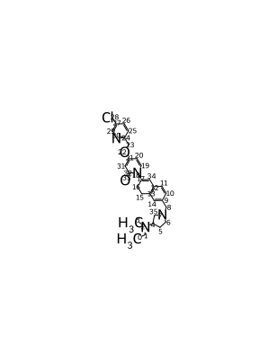 CCN(C)[C@@H]1CCN(Cc2ccc3c(c2)CCC(n2ccc(OCc4ccc(Cl)cn4)cc2=O)=C3)C1